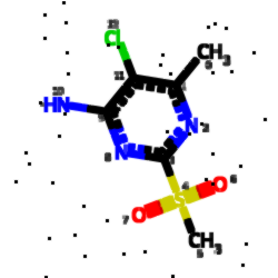 Cc1nc(S(C)(=O)=O)nc([NH])c1Cl